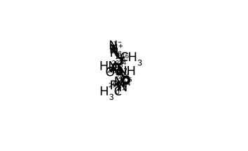 Cc1nc2cccc(-c3cc4c([nH]3)C(CC(C)CCN=[N+]=[N-])CNC4=O)c2nc1F